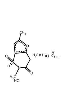 Cc1cc2c(o1)CC(=O)N(C)S2(=O)=O.Cl.Cl.Cl.Cl.Cl.P